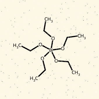 CC[O][Bi]([O]CC)([O]CC)([O]CC)[O]CC